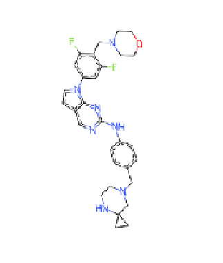 Fc1cc(-n2ccc3cnc(Nc4ccc(CN5CCNC6(CC6)C5)cc4)nc32)cc(F)c1CN1CCOCC1